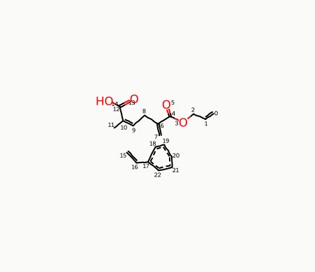 C=CCOC(=O)C(=C)CC=C(C)C(=O)O.C=Cc1ccccc1